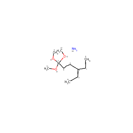 CCC(CC)CC[Si](OC)(OC)OC.N